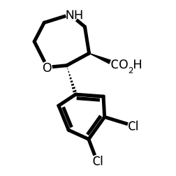 O=C(O)[C@@H]1CNCCO[C@H]1c1ccc(Cl)c(Cl)c1